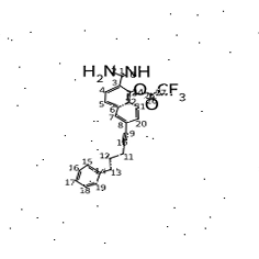 N=C(N)c1ccc2cc(C#CCCCc3ccccc3)ccc2c1OC(=O)C(F)(F)F